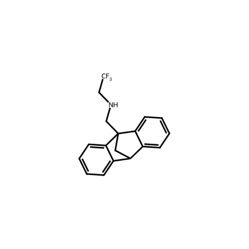 FC(F)(F)CNCC12CC(c3ccccc31)c1ccccc12